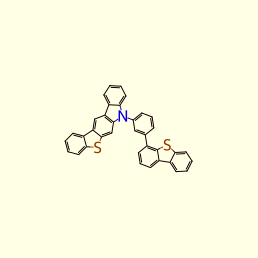 c1cc(-c2cccc3c2sc2ccccc23)cc(-n2c3ccccc3c3cc4c(cc32)sc2ccccc24)c1